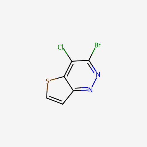 Clc1c(Br)nnc2ccsc12